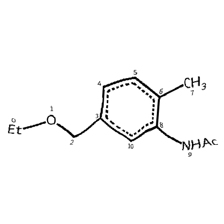 CCOCc1ccc(C)c(NC(C)=O)c1